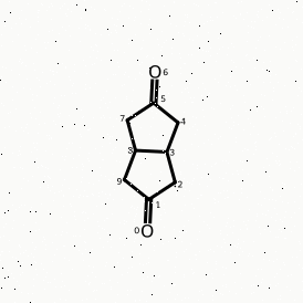 O=C1[CH]C2CC(=O)CC2C1